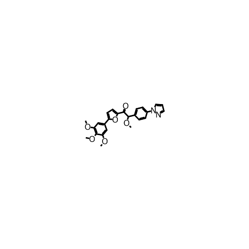 COc1cc(-c2ccc(C(=O)C(OC)c3ccc(-n4cccn4)cc3)o2)cc(OC)c1OC